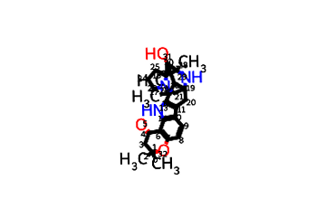 CC1(C)CC(=O)c2c(ccc3c4c([nH]c23)C(C)(C)C2C3(C4)CN4CCCC45C(C)(N3)C25O)O1